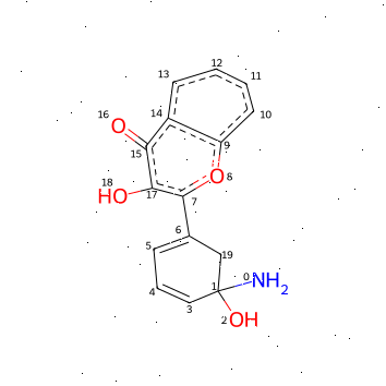 NC1(O)C=CC=C(c2oc3ccccc3c(=O)c2O)C1